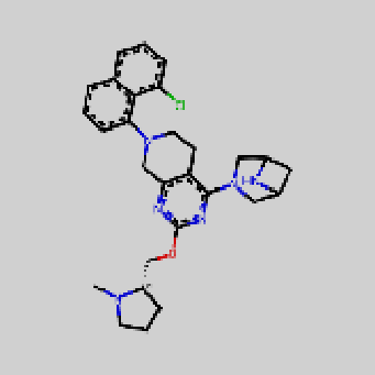 CN1CCC[C@H]1COc1nc2c(c(N3CC4CC(C3)N4)n1)CCN(c1cccc3cccc(Cl)c13)C2